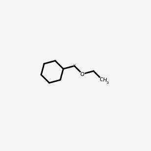 CCO[C]C1CCCCC1